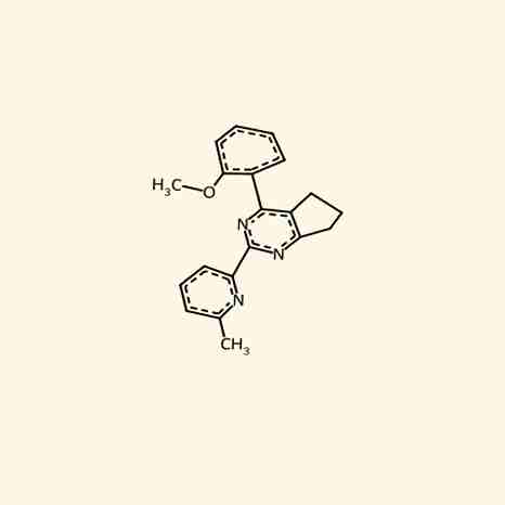 COc1ccccc1-c1nc(-c2cccc(C)n2)nc2c1CCC2